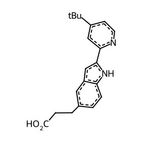 CC(C)(C)c1ccnc(-c2cc3cc(CCC(=O)O)ccc3[nH]2)c1